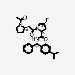 CC(=O)N1CCC[C@@H]1CC(=O)N1C[C@H](F)C[C@H]1C(=O)N[C@@H](c1ccccc1)c1ccc(C(C)C)cc1